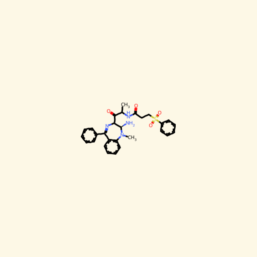 CC(NC(=O)CCS(=O)(=O)c1ccccc1)C(=O)C1N=C(c2ccccc2)c2ccccc2N(C)[C@@H]1N